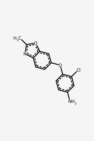 Cc1nc2ccc(Oc3ccc(N)cc3Cl)cc2o1